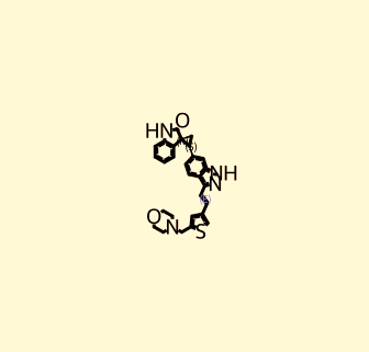 O=C1Nc2ccccc2[C@]12C[C@H]2c1ccc2c(/C=C/c3csc(CN4CCOCC4)c3)n[nH]c2c1